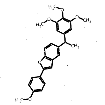 COc1ccc(-c2cc3cc(C(C)c4cc(OC)c(OC)c(OC)c4)ccc3o2)cc1